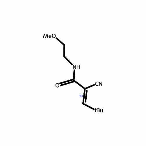 COCCNC(=O)/C(C#N)=C/C(C)(C)C